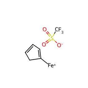 O=S(=O)([O-])C(F)(F)F.[Fe+][C]1=CC=CC1